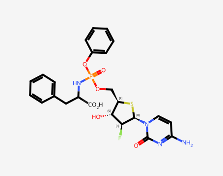 Nc1ccn([C@@H]2S[C@H](COP(=O)(NC(Cc3ccccc3)C(=O)O)Oc3ccccc3)[C@@H](O)[C@@H]2F)c(=O)n1